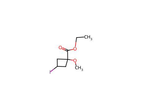 CCOC(=O)C1(OC)CC(I)C1